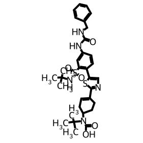 CC(C)(C)NS(=O)(=O)c1cc(NC(=O)NCc2ccccc2)ccc1-c1cnc(C2=CCC(N(C(=O)O)C(C)(C)C)CC2)s1